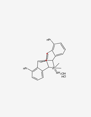 CCCc1cccc2c1C=C(C)[CH]2[Zr]([CH3])([CH3])(=[SiH2])[CH]1C(C)=Cc2c(CCC)cccc21.Cl.Cl